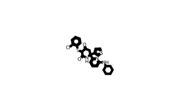 O=C1CC(c2ccsc2)(c2cccc(NC3CCCCC3)n2)NC(=O)C1Sc1ccccc1Cl